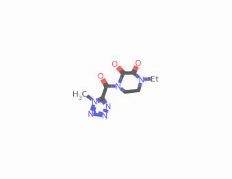 CCN1CCN(C(=O)c2nnnn2C)C(=O)C1=O